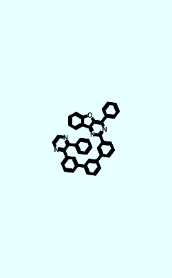 c1ccc(-c2nccnc2-c2cccc(-c3cccc(-c4cccc(-c5nc(-c6ccccc6)c6oc7ccccc7c6n5)c4)c3)c2)cc1